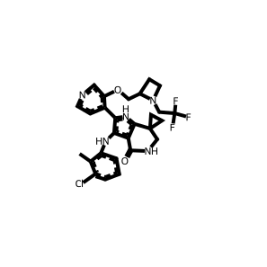 Cc1c(Cl)cccc1Nc1c(-c2ccncc2OCC2CCN2CC(F)(F)F)[nH]c2c1C(=O)NCC21CC1